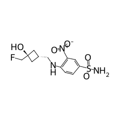 NS(=O)(=O)c1ccc(NC[C@H]2C[C@@](O)(CF)C2)c([N+](=O)[O-])c1